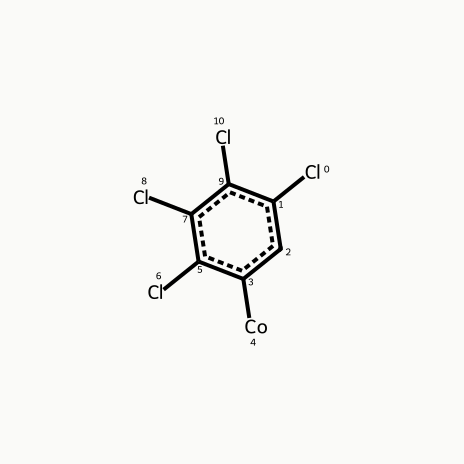 Clc1c[c]([Co])c(Cl)c(Cl)c1Cl